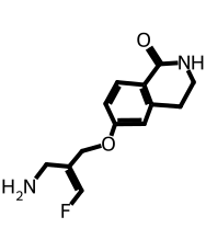 NCC(=CF)COc1ccc2c(c1)CCNC2=O